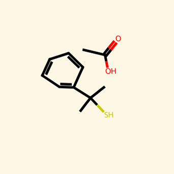 CC(=O)O.CC(C)(S)c1ccccc1